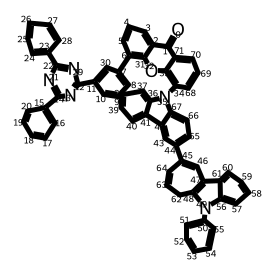 O=c1c2cccc(-c3cccc(-c4nc(-c5ccccc5)nc(-c5ccccc5)n4)c3)c2oc2c(-n3c4ccccc4c4cc(C5=Cc6c(n(-c7ccccc7)c7ccccc67)CC=C5)ccc43)cccc12